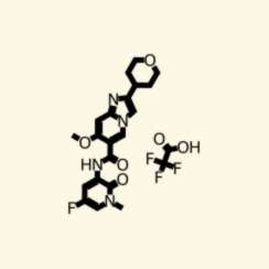 COc1cc2nc(C3CCOCC3)cn2cc1C(=O)Nc1cc(F)cn(C)c1=O.O=C(O)C(F)(F)F